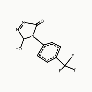 O=C1N=NC(O)N1c1ccc(C(F)(F)F)cc1